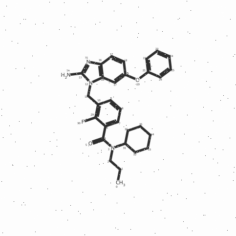 CCCN(C(=O)c1cccc(Cn2c(N)nc3ccc(Oc4ccccc4)cc32)c1F)C1CCCCC1